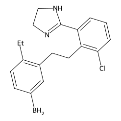 Bc1ccc(CC)c(CCc2c(Cl)cccc2C2=NCCN2)c1